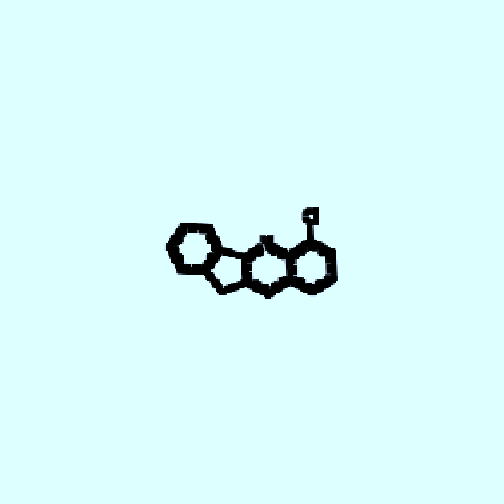 Clc1cccc2cc3c(nc12)-c1ccccc1C3